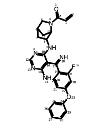 C=CC(=O)N1CC2CC(Nc3ncnc(N)c3C(=N)c3ccc(Oc4ccccc4)cc3F)C1C2